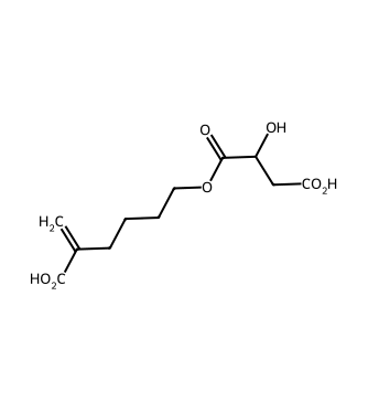 C=C(CCCCOC(=O)C(O)CC(=O)O)C(=O)O